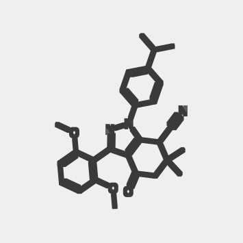 COc1cccc(OC)c1-c1nn(-c2ccc(C(C)C)cc2)c2c1C(=O)CC(C)(C)C2C#N